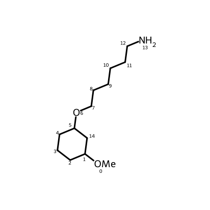 COC1CCCC(OCCCCCCN)C1